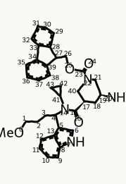 COCCCC(c1c[nH]c2ccccc12)N(C(=O)[C@@H]1C[C@H](N)CN(C(=O)OCC2c3ccccc3-c3ccccc32)C1)C1CC1